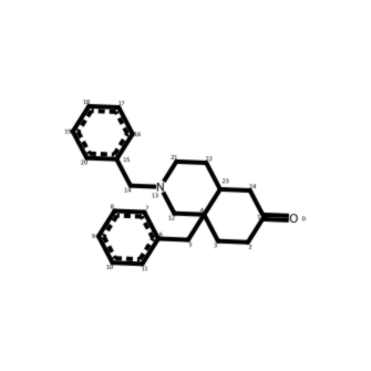 O=C1CCC2(Cc3ccccc3)CN(Cc3ccccc3)CCC2C1